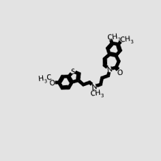 COc1ccc2c(CCN(C)CCCN3C=Cc4cc(C)c(C)cc4CC3=O)csc2c1